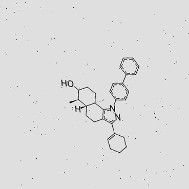 C[C@H]1C(O)CC[C@@]2(C)c3c(c(C4=CCCCC4)nn3-c3ccc(-c4ccccc4)cc3)CC[C@H]12